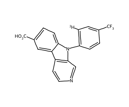 [2H]c1cc(C(F)(F)F)ccc1-n1c2ccc(C(=O)O)cc2c2ccncc21